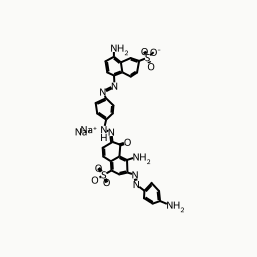 Nc1ccc(N=Nc2cc(S(=O)(=O)[O-])c3c(c2N)C(=O)/C(=N/Nc2ccc(N=Nc4ccc(N)c5cc(S(=O)(=O)[O-])ccc45)cc2)C=C3)cc1.[Na+].[Na+]